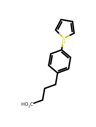 O=C(O)CCCc1ccc([SH]2C=CC=C2)cc1